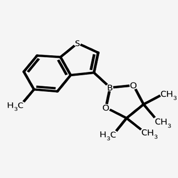 Cc1ccc2scc(B3OC(C)(C)C(C)(C)O3)c2c1